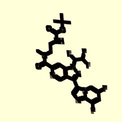 CN(CCNC(=O)OC(C)(C)C)C(=O)c1cc2c(cn1)c(-c1cnc3c(F)cc(F)cn13)nn2C(F)C(F)F